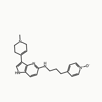 CN1CC=C(c2c[nH]c3ccc(NCCCc4cc[n+]([O-])cc4)nc23)CC1